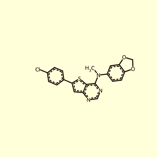 CN(c1ccc2c(c1)OCO2)c1ncnc2cc(-c3ccc(Cl)cc3)sc12